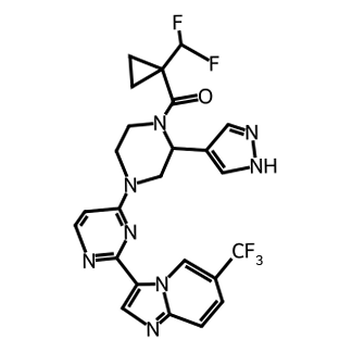 O=C(N1CCN(c2ccnc(-c3cnc4ccc(C(F)(F)F)cn34)n2)CC1c1cn[nH]c1)C1(C(F)F)CC1